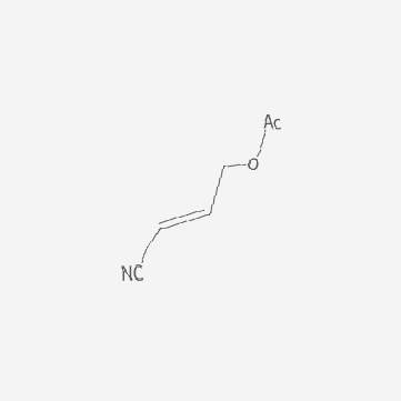 CC(=O)OCC=CC#N